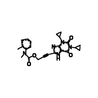 Cc1ccccc1N(C)C(=O)OCC#Cc1nc2c([nH]1)c(=O)n(C1CC1)c(=O)n2C1CC1